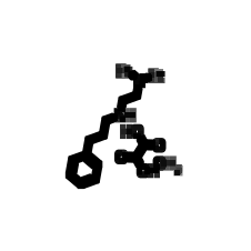 CCN(CC)CCNCCCc1ccccc1.O.O=C(O)C(=O)O